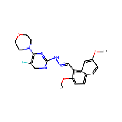 CCOc1ccc2ccc(OCC)c(/C=N/NC3=NC(N4CCOCC4)=C(F)CN3)c2c1